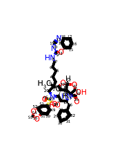 CC(C)(CCCCCNC(=NC#N)Oc1ccccc1)CN(C([C@H](O)[C@H](Cc1ccccc1)NC(=O)O)[C@@H]1CO[C@H]2OCC[C@H]21)S(=O)(=O)c1ccc2c(c1)OCO2